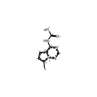 CCCC(=O)Nc1ncnn2c(C)ccc12